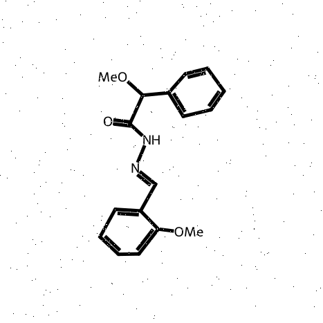 COc1ccccc1/C=N/NC(=O)C(OC)c1ccccc1